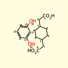 O=C(O)CC1CCC(CC(=O)O)CC1.Oc1cccc(O)c1